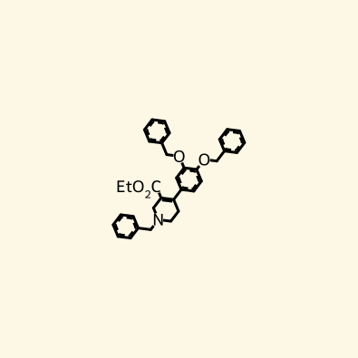 CCOC(=O)C1=C(c2ccc(OCc3ccccc3)c(OCc3ccccc3)c2)CCN(Cc2ccccc2)C1